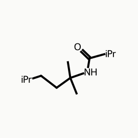 CC(C)CCC(C)(C)NC(=O)C(C)C